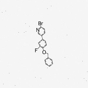 Fc1cc(-c2ccc(Br)nc2)ccc1OCc1ccccc1